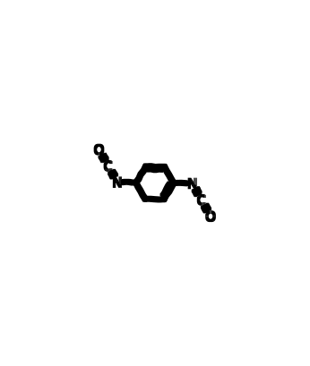 O=C=NC1=CCC(N=C=O)C=C1